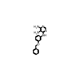 Nc1ncnc(Nc2cccc(OCc3ccccc3)c2)c1N